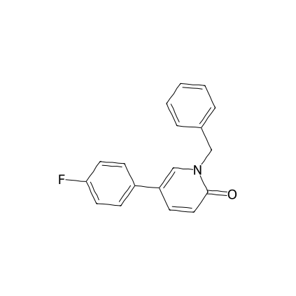 O=c1ccc(-c2ccc(F)cc2)cn1Cc1ccccc1